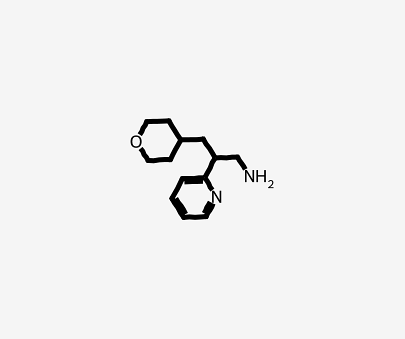 NCC(CC1CCOCC1)c1ccccn1